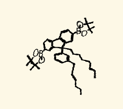 CCCCCCCCC1(c2cccc(CCCCCC)c2)c2cc(B3OC(C)(C)C(C)(C)O3)ccc2-c2ccc(B3OC(C)(C)C(C)(C)O3)cc21